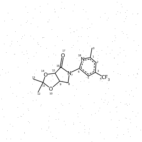 Cc1cc(C(F)(F)F)cc(N2CC3OC(C)(C)OC3C2=O)n1